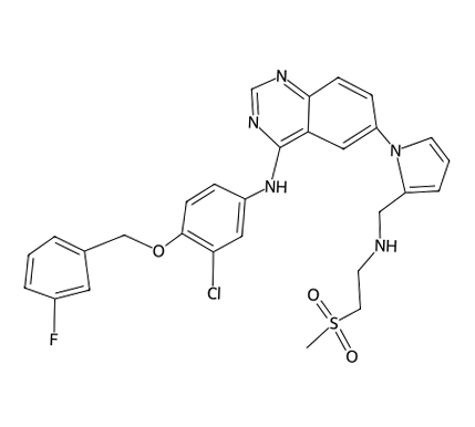 CS(=O)(=O)CCNCc1cccn1-c1ccc2ncnc(Nc3ccc(OCc4cccc(F)c4)c(Cl)c3)c2c1